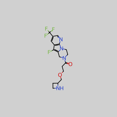 O=C(CCOCC1CCN1)N1CCn2c(c(F)c3cc(C(F)(F)F)cnc32)C1